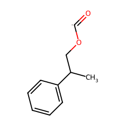 CC(CO[C]=O)c1ccccc1